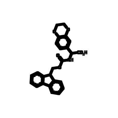 O=C(NC(C(=O)O)c1ccc2c(c1)OCCO2)OCC1c2ccccc2-c2ccccc21